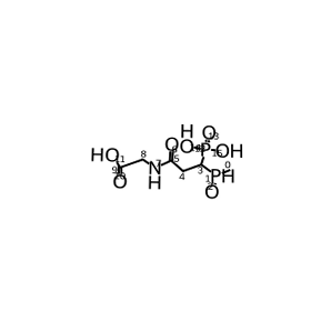 C[PH](=O)C(CC(=O)NCC(=O)O)P(=O)(O)O